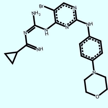 N=C(/N=C(/N)Nc1nc(Nc2ccc(N3CCOCC3)cc2)ncc1Br)C1CC1